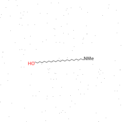 CNCCCCCCCCCCCCCCCCCCCCCCO